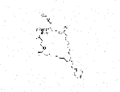 C=C=C=C=CC(CCCCC)CCOC(=O)CCCCCCCC(CCCCCCCC(=O)OCCC(C)CCCCC)CCN1CCN(C)CC1